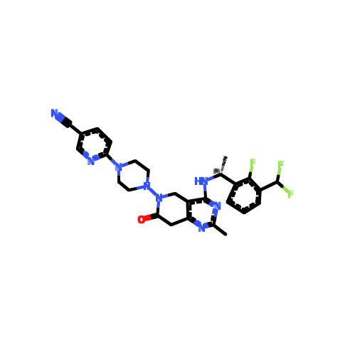 Cc1nc2c(c(N[C@H](C)c3cccc(C(F)F)c3F)n1)CN(N1CCN(c3ccc(C#N)cn3)CC1)C(=O)C2